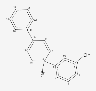 Clc1cccc(C2(Br)C=CC(c3ccccc3)=CC2)c1